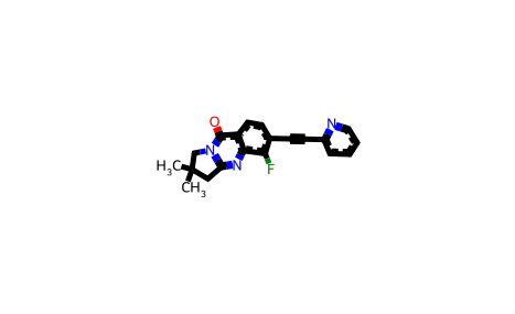 CC1(C)Cc2nc3c(F)c(C#Cc4ccccn4)ccc3c(=O)n2C1